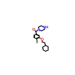 O=C(c1ccc(F)c(OCCC2CCCCC2)c1)N1CCNCC1